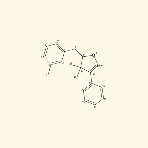 Cc1ccnc(CC2ON=C(c3ccccc3)C2(C)C)c1